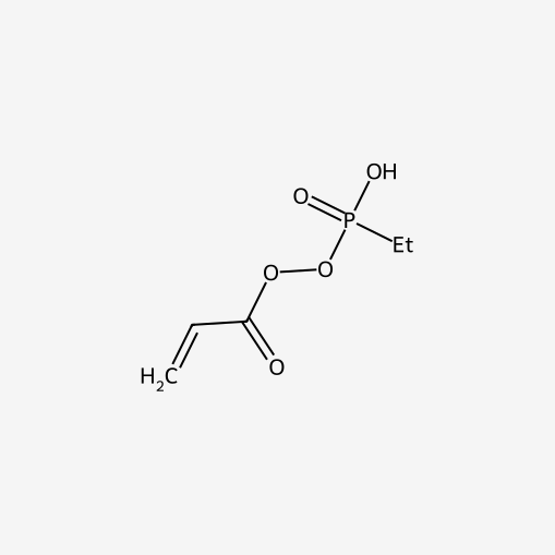 C=CC(=O)OOP(=O)(O)CC